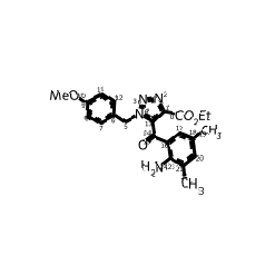 CCOC(=O)c1nnn(Cc2ccc(OC)cc2)c1C(=O)c1cc(C)cc(C)c1N